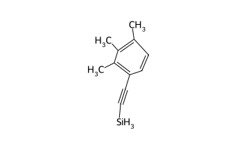 Cc1ccc(C#C[SiH3])c(C)c1C